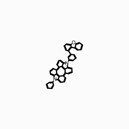 c1ccc(-n2c3cccc4c5cccc6c5c5c(cccc5n6-c5cccc(-c6cccc7oc8ccccc8c67)c5)c5cccc2c5c43)cc1